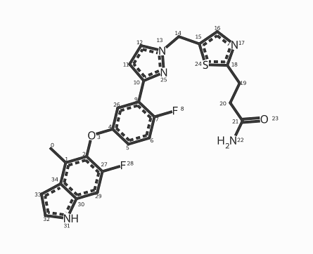 Cc1c(Oc2ccc(F)c(-c3ccn(Cc4cnc(CCC(N)=O)s4)n3)c2)c(F)cc2[nH]ccc12